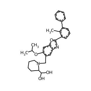 Cc1c(-c2ccccc2)cccc1-c1nc2cc(CN3CCCCC3C(O)O)c(OC(C)C)cc2o1